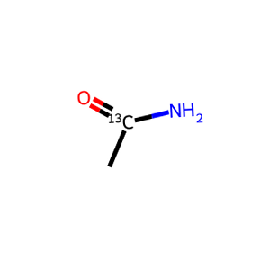 C[13C](N)=O